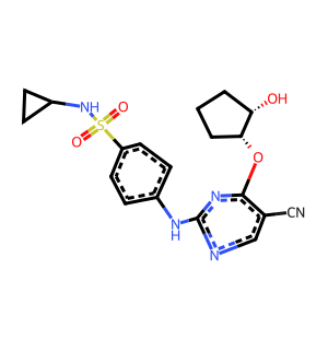 N#Cc1cnc(Nc2ccc(S(=O)(=O)NC3CC3)cc2)nc1O[C@@H]1CCC[C@@H]1O